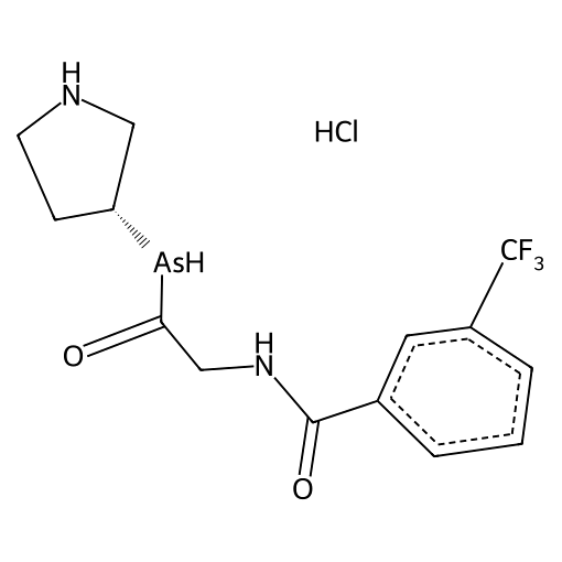 Cl.O=C(CNC(=O)c1cccc(C(F)(F)F)c1)[AsH][C@@H]1CCNC1